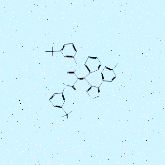 O=C(Nc1cccc(C(F)(F)F)c1)C(C(=O)Nc1cccc(C(F)(F)F)c1)=C(c1ccccc1)c1c[nH]nc1-c1ccc(Cl)cc1